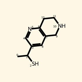 CC(S)c1cnc2c(c1)CNCC2